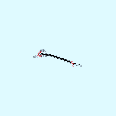 C=CC(=O)OCCCCCCCCCCCCCCCCCC[Si](OCCCC)(OCCCC)OCCCC